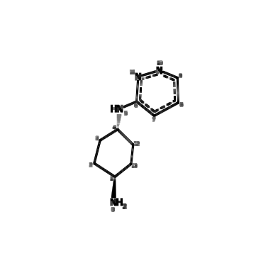 N[C@H]1CC[C@H](Nc2cccnn2)CC1